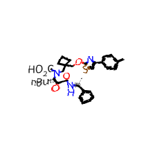 CCCC[C@@H](C(=O)C(=O)N[C@H](C)c1ccccc1)N(CC1(COc2nc(-c3ccc(C)cc3)cs2)CCC1)C(=O)O